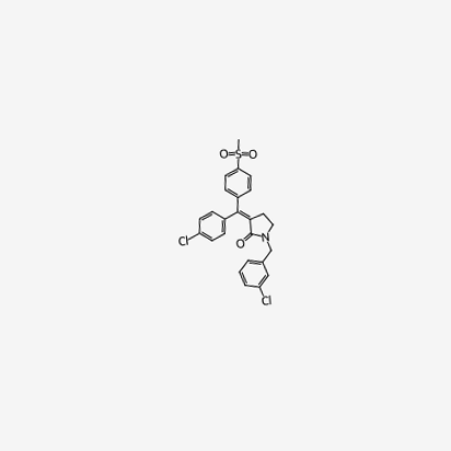 CS(=O)(=O)c1ccc(/C(=C2\CCN(Cc3cccc(Cl)c3)C2=O)c2ccc(Cl)cc2)cc1